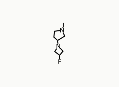 FC1CN(C2CCN(I)C2)C1